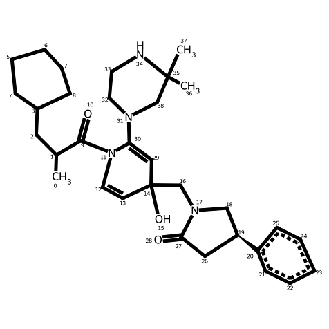 CC(CC1CCCCC1)C(=O)N1C=CC(O)(CN2C[C@@H](c3ccccc3)CC2=O)C=C1N1CCNC(C)(C)C1